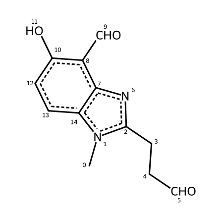 Cn1c(CCC=O)nc2c(C=O)c(O)ccc21